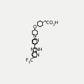 O=C(O)C[C@H]1CC[C@H](OC2CCN(c3ccc(-c4nc5cc(C(F)(F)F)cnc5[nH]4)cn3)CC2)CC1